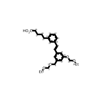 CCOCOCc1cc(/C=C/c2cccc(CCCCC(=O)O)c2)cc(OCOCC)c1